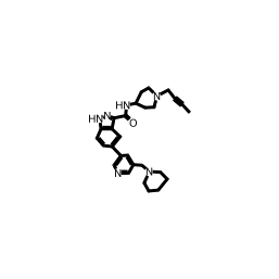 CC#CCN1CCC(NC(=O)c2n[nH]c3ccc(-c4cncc(CN5CCCCC5)c4)cc23)CC1